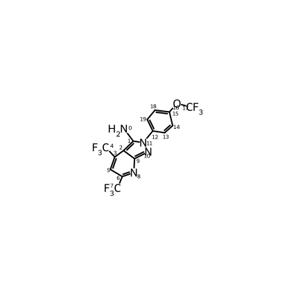 Nc1c2c(C(F)(F)F)cc(C(F)(F)F)nc2nn1-c1ccc(OC(F)(F)F)cc1